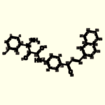 Cc1cccc(N(N)C(=O)C(=O)Nc2ccc(C(=O)C=Cc3ccc4ccccc4n3)cc2)n1